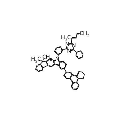 C=C/C=C(\C)c1nc(-c2ccccc2)nc(-c2cccc(-n3c4ccc(-c5ccc6c(c5)c5c(c7ccccc76)=CCCC=5)cc4c4cc5c(cc43)C(C)(C)c3ccccc3-5)c2)n1